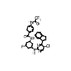 O=C(NC1CC(F)CC(Nc2ncc(Cl)c(C3=CCc4ccccc43)n2)C1)c1ccc(NC(=O)C(F)(F)F)cc1